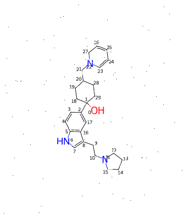 OC1(c2ccc3[nH]cc(CCN4CCCC4)c3c2)CCC(CN2C=CC=CC2)CC1